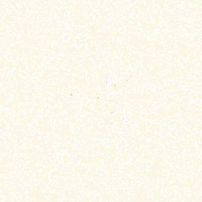 CC(C)Cc1cc(-c2ccc(Cn3ccnc3C(C)(C)C)c(F)c2)c(S(=O)(=O)NC(=O)c2ccccc2)s1